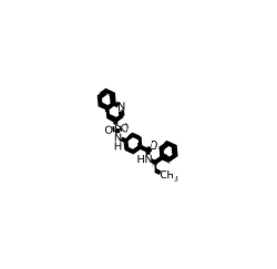 CC[C@@H](NC(=O)C1CCC(NS(=O)(=O)c2cnc3ccccc3c2)CC1)c1ccccc1